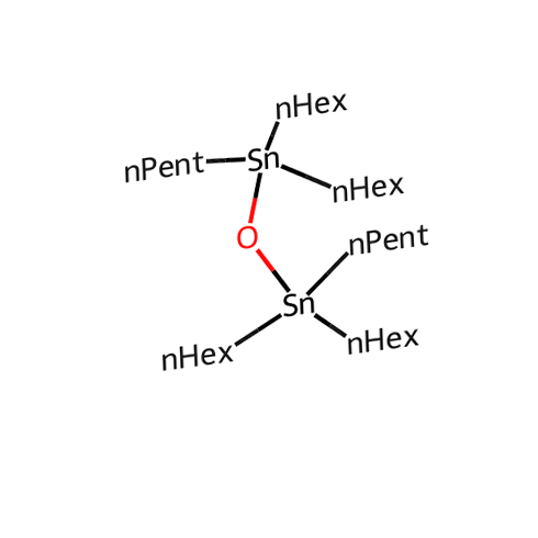 CCCCC[CH2][Sn]([CH2]CCCC)([CH2]CCCCC)[O][Sn]([CH2]CCCC)([CH2]CCCCC)[CH2]CCCCC